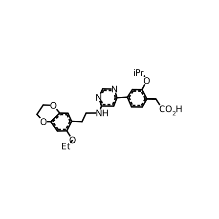 CCOc1cc2c(cc1CCNc1cc(-c3ccc(CC(=O)O)c(OC(C)C)c3)ncn1)OCCO2